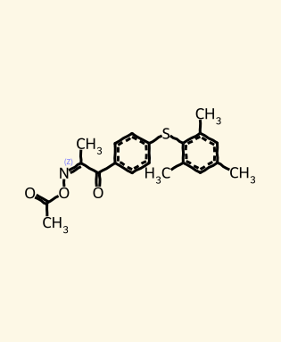 CC(=O)O/N=C(/C)C(=O)c1ccc(Sc2c(C)cc(C)cc2C)cc1